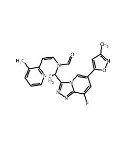 Cc1cc(-c2cc(F)c3nnc([C@@H](C)N(C=O)/C=C\c4ncccc4C)n3c2)on1